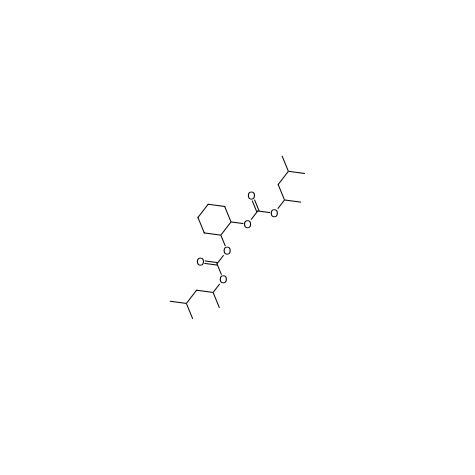 CC(C)CC(C)OC(=O)OC1CCCCC1OC(=O)OC(C)CC(C)C